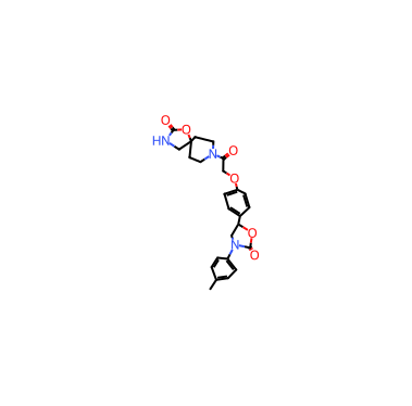 Cc1ccc(N2CC(c3ccc(OCC(=O)N4CCC5(CC4)CNC(=O)O5)cc3)OC2=O)cc1